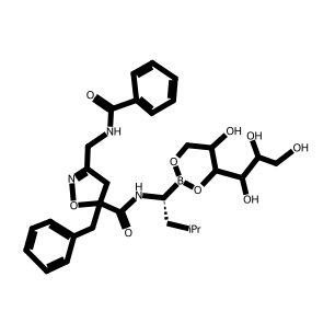 CC(C)C[C@H](NC(=O)C1(Cc2ccccc2)CC(CNC(=O)c2ccccc2)=NO1)B1OCC(O)C(C(O)C(O)CO)O1